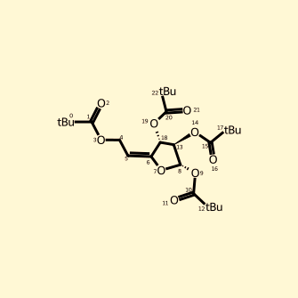 CC(C)(C)C(=O)OC/C=C1/O[C@@H](OC(=O)C(C)(C)C)[C@H](OC(=O)C(C)(C)C)[C@H]1OC(=O)C(C)(C)C